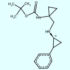 CC(C)(C)OC(=O)NC1(CN[C@H]2CC2c2ccccc2)CC1